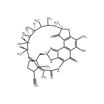 C#CC1CCC(C[C@H]2N=C3C(=C4NC(=O)/C(C)=C\C=C\[C@H](C)[C@H](O)[C@@H](C)[C@@H](O)C(C)C(C)O[C@@]5(C)Oc6c(C)c(O)c(c3c6C5=O)C4=O)N2)N1C